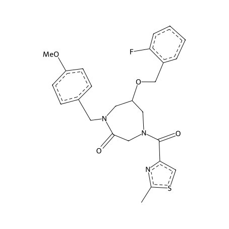 COc1ccc(CN2CC(OCc3ccccc3F)CN(C(=O)c3csc(C)n3)CC2=O)cc1